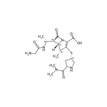 C[C@@H](NC(=O)CN)[C@H]1C(=O)N2C(C(=O)O)=C(S[C@@H]3CNC(C(=O)N(C)C)C3)[C@H](C)[C@H]12